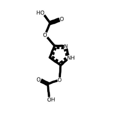 O=C(O)Oc1cc(OC(=O)O)[nH]n1